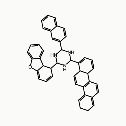 C1=CC2c3ccc4c(c3C=CC2C(C2NC(c3ccc5ccccc5c3)NC(C3C=CC=C5Oc6ccccc6C53)N2)=C1)=CCCC=4